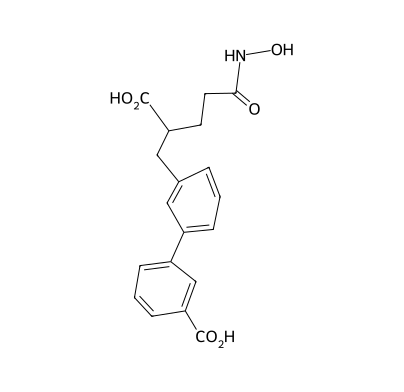 O=C(CCC(Cc1cccc(-c2cccc(C(=O)O)c2)c1)C(=O)O)NO